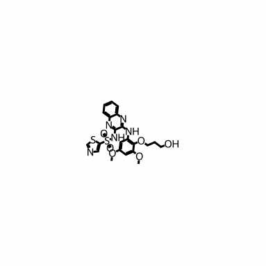 COc1cc(Nc2nc3ccccc3nc2NS(=O)(=O)c2cncs2)c(OCCCO)c(OC)c1